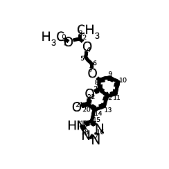 COC(C)OCCOc1cccc2cc(-c3nnn[nH]3)c(=O)oc12